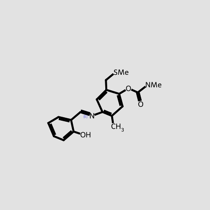 CNC(=O)Oc1cc(C)c(/N=C/c2ccccc2O)cc1CSC